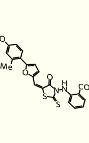 COc1ccc(-c2ccc(/C=C3/SC(=S)N(Nc4ccccc4C(=O)O)C3=O)o2)c(OC)c1